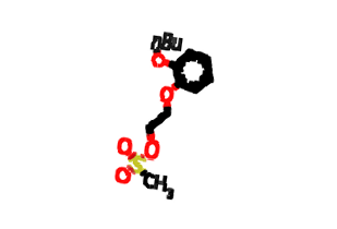 CCCCOc1ccccc1OCCOS(C)(=O)=O